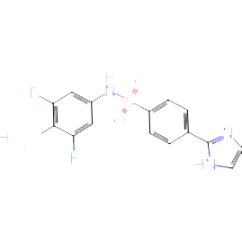 O=C(O)c1c(F)cc(NS(=O)(=O)c2ccc(-c3ncc[nH]3)cc2)cc1F